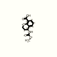 COC(=O)N[C@H]1CCOc2c(C(=O)O)cccc21